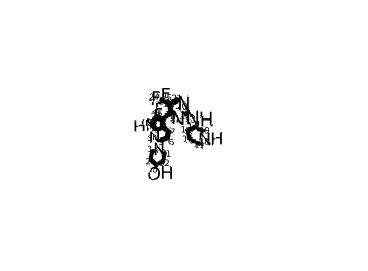 OC1CCN(c2ccc3c(-c4nc(N[C@H]5CCCNC5)ncc4C(F)(F)F)c[nH]c3n2)CC1